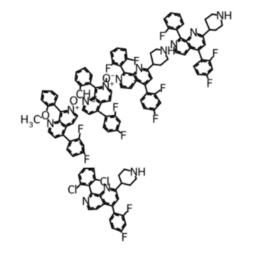 COc1ccccc1-c1c2nccc(-c3ccc(F)cc3F)c2cc[n+]1[O-].Cc1ccccc1-c1c2nccc(-c3ccc(F)cc3F)c2cc[n+]1[O-].Fc1ccc(-c2cc(C3CCNCC3)nc3c(-c4c(Cl)cccc4Cl)nccc23)c(F)c1.Fc1ccc(-c2cc(C3CCNCC3)nc3c(-c4c(F)cccc4F)nccc23)c(F)c1.Fc1ccc(-c2cc(C3CCNCC3)nc3c(-c4ccccc4F)nccc23)c(F)c1